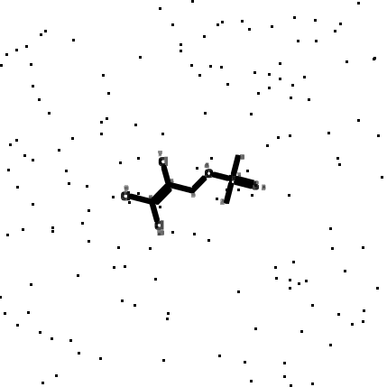 CP(C)(=S)OCC(Cl)=C(Cl)Cl